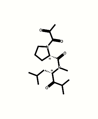 CC(=O)C(=O)N1CCC[C@H]1C(=O)N(C)[C@@H](CC(C)C)C(=O)C(C)C